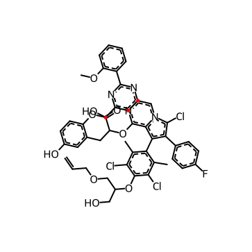 C=CCOCC(CO)Oc1c(Cl)c(C)c(-c2c(-c3ccc(F)cc3)c(Cl)n3ccnc(OC(Cc4cc(O)ccc4OCc4ccnc(-c5ccccc5OC)n4)C(=O)O)c23)c(C)c1Cl